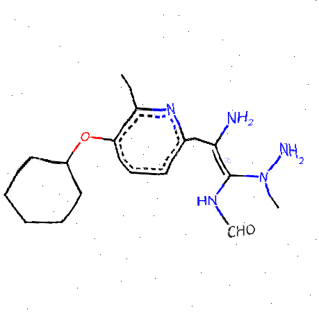 Cc1nc(/C(N)=C(\NC=O)N(C)N)ccc1OC1CCCCC1